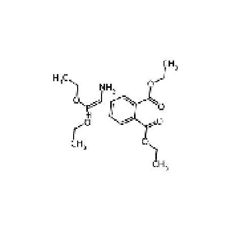 CCOC(=O)c1ccccc1C(=O)OCC.CCO[PH](=CN)OCC